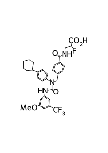 COc1cc(NC(=O)N(Cc2ccc(C(=O)NCC(F)C(=O)O)cc2)c2ccc(C3CCCCC3)cc2)cc(C(F)(F)F)c1